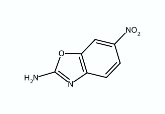 Nc1nc2ccc([N+](=O)[O-])cc2o1